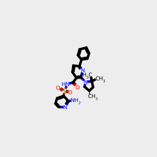 C[C@@H]1CN(c2nc(-c3ccccc3)ccc2C(=O)NS(=O)(=O)c2cccnc2N)C(C)(C)C1